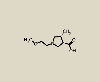 COCCN1C[C@H](C(=O)O)[C@@H](C)C1